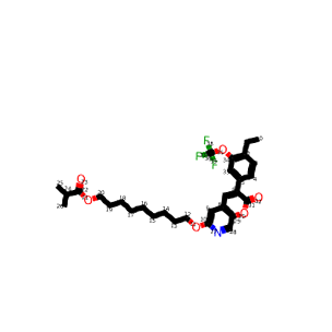 CCc1ccc(-c2cc3cc(OCCCCCCCCCOC(=O)C(C)C)ncc3oc2=O)cc1OC(F)(F)F